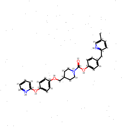 Cc1ccc(Cc2ccc(OC(=O)N3CCC(COc4ccc(Oc5ccccn5)cc4)CC3)cc2)nc1